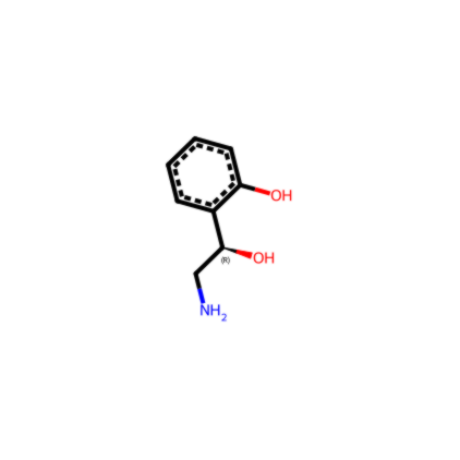 NC[C@H](O)c1ccccc1O